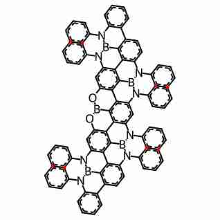 c1ccc(N2B3c4c(ccc5c4-c4c(cc6c7c4B(N(c4ccccc4)c4cc8c9c(c4-7)B(O6)Oc4cc6c7c(c4-9)B(N8c4ccccc4)N(c4ccccc4)c4ccc8c(c4-7)B(N(c4ccccc4)c4ccccc4-8)N6c4ccccc4)N5c4ccccc4)N3c3ccccc3)-c3ccccc32)cc1